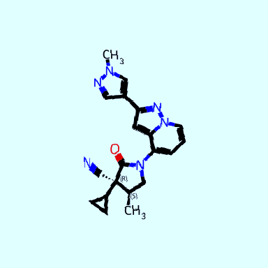 C[C@@H]1CN(c2cccn3nc(-c4cnn(C)c4)cc23)C(=O)[C@]1(C#N)C1CC1